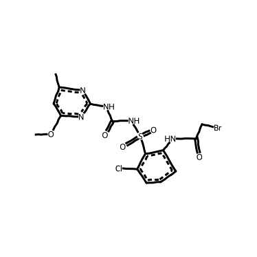 COc1cc(C)nc(NC(=O)NS(=O)(=O)c2c(Cl)cccc2NC(=O)CBr)n1